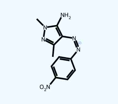 Cc1nn(C)c(N)c1/N=N\c1ccc([N+](=O)[O-])cc1